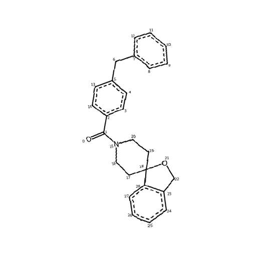 O=C(c1ccc(Cc2ccccc2)cc1)N1CCC2(CC1)OCc1ccccc12